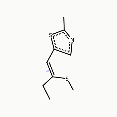 CC/C(=C/c1cnc(C)s1)SC